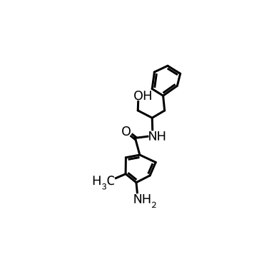 Cc1cc(C(=O)NC(CO)Cc2ccccc2)ccc1N